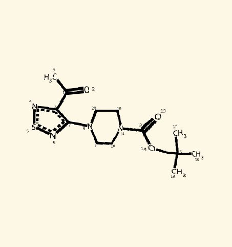 CC(=O)c1nsnc1N1CCN(C(=O)OC(C)(C)C)CC1